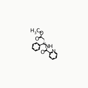 COC(=O)C[C@H](NC(=O)c1ccccn1)c1ccccc1